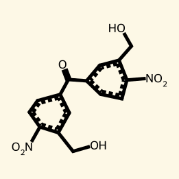 O=C(c1ccc([N+](=O)[O-])c(CO)c1)c1ccc([N+](=O)[O-])c(CO)c1